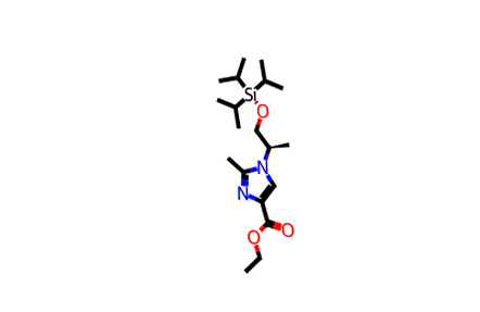 CCOC(=O)c1cn([C@H](C)CO[Si](C(C)C)(C(C)C)C(C)C)c(C)n1